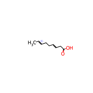 C/C=C/CCC=CCC(=O)O